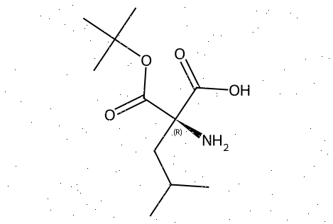 CC(C)C[C@@](N)(C(=O)O)C(=O)OC(C)(C)C